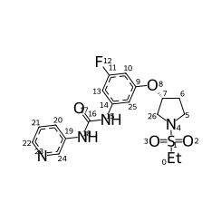 CCS(=O)(=O)N1CC[C@@H](Oc2cc(F)cc(NC(=O)Nc3cccnc3)c2)C1